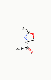 COC(=O)[C@H]1COC(C(C)(C)C)N1